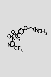 CN1CC(CCOc2ccc(N3C(=S)N(c4cncc(C(F)(F)F)c4)C(=O)C34CCC4)cc2)C1